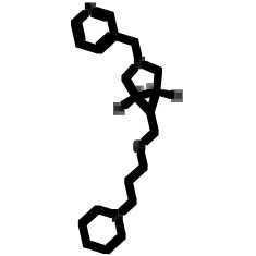 c1cncc(CN2C[C@@H]3C(COCCCN4CCCCC4)[C@@H]3C2)c1